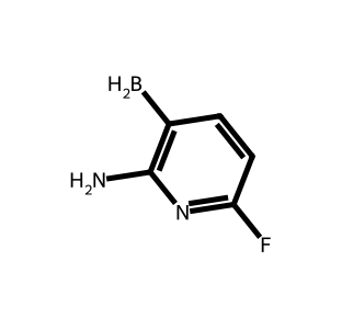 Bc1ccc(F)nc1N